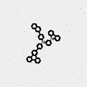 c1cc(N(c2ccc(-c3ccc4ccccc4c3)cc2)c2ccc(-c3ccc4c5ccccc5c5ccccc5c4c3)cc2)cc(-n2c3ccccc3c3ccccc32)c1